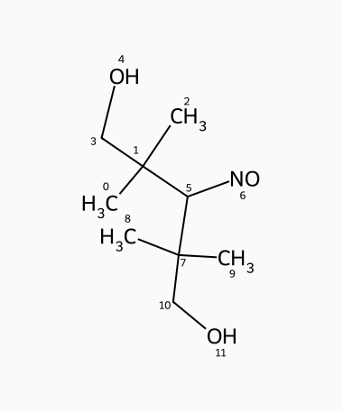 CC(C)(CO)C(N=O)C(C)(C)CO